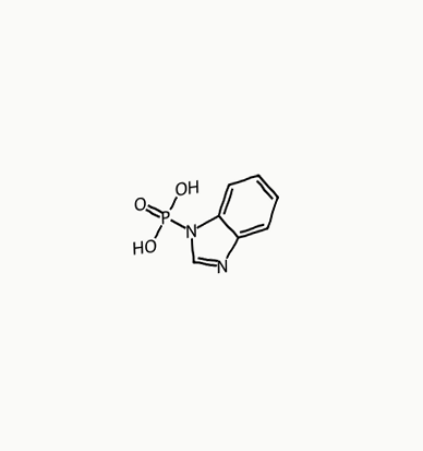 O=P(O)(O)n1cnc2ccccc21